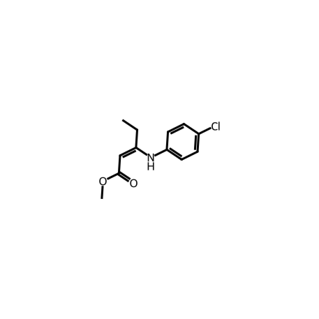 CC/C(=C/C(=O)OC)Nc1ccc(Cl)cc1